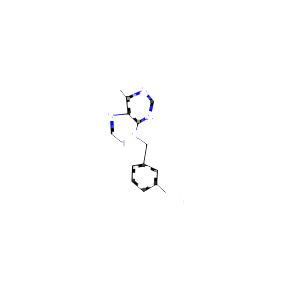 CCC(C)/C=N\c1c(C)ncnc1NCc1cccc(C)c1